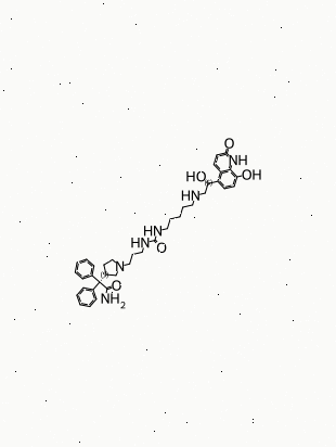 NC(=O)C(c1ccccc1)(c1ccccc1)[C@@H]1CCN(CCCNC(=O)NCCCCCNC[C@@H](O)c2ccc(O)c3[nH]c(=O)ccc23)C1